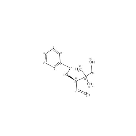 C=C[C@@H](OCc1ccccc1)C(C)(C)CO